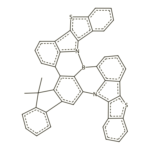 CC1(C)c2ccccc2-c2cc3c4c(c21)-c1cccc2c5sc6ccccc6c5n(c12)B4c1cccc2c4sc5ccccc5c4n-3c12